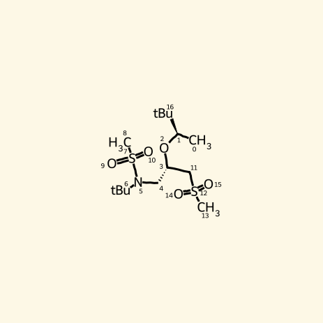 C[C@@H](O[C@@H](CN(C(C)(C)C)S(C)(=O)=O)CS(C)(=O)=O)C(C)(C)C